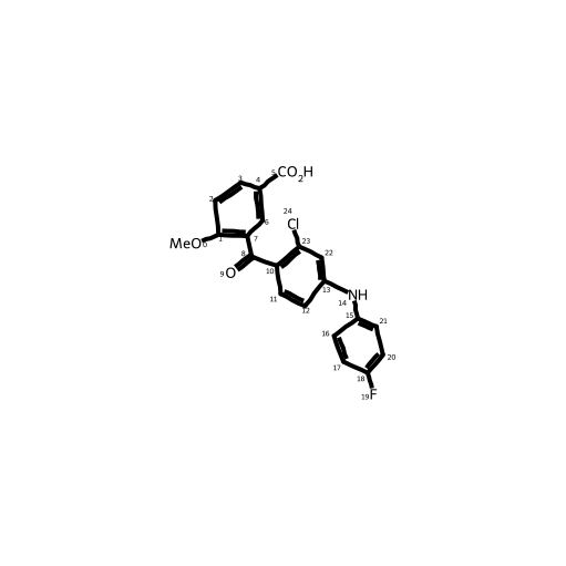 COc1ccc(C(=O)O)cc1C(=O)c1ccc(Nc2ccc(F)cc2)cc1Cl